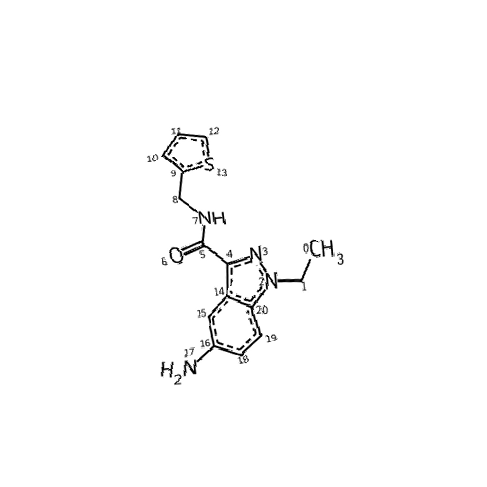 CCn1nc(C(=O)NCc2cccs2)c2cc(N)ccc21